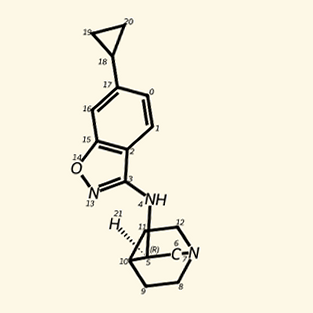 c1cc2c(N[C@H]3CN4CCC3CC4)noc2cc1C1CC1